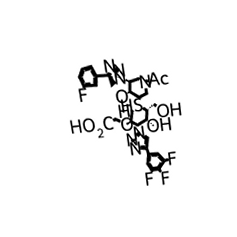 CC(=O)N1C[C@@H]([SH]2C[C@H](OCC(=O)O)[C@@H](n3cc(-c4cc(F)c(F)c(F)c4)nn3)[C@@H](O)[C@H]2CO)[C@H](O)[C@@H](n2cc(-c3cccc(F)c3)nn2)C1